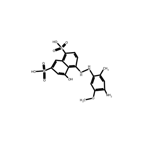 COc1cc(NNc2ccc(S(=O)(=O)O)c3cc(S(=O)(=O)O)cc(O)c23)c(C)cc1N